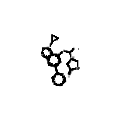 CC(Oc1cc(-c2ccccn2)cc2ncn(C3CC3)c12)[C@H]1CNC(=O)C1